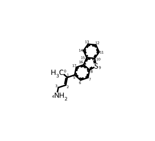 CC(=CCN)c1ccc2sc3ccccc3c2c1